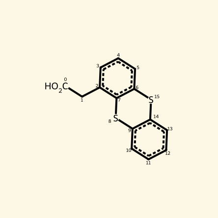 O=C(O)Cc1cccc2c1Sc1ccccc1S2